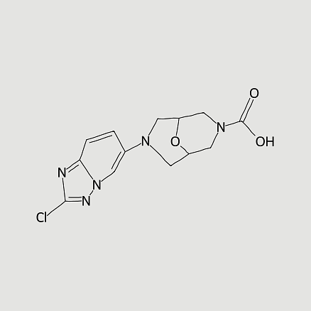 O=C(O)N1CC2CN(c3ccc4nc(Cl)nn4c3)CC(C1)O2